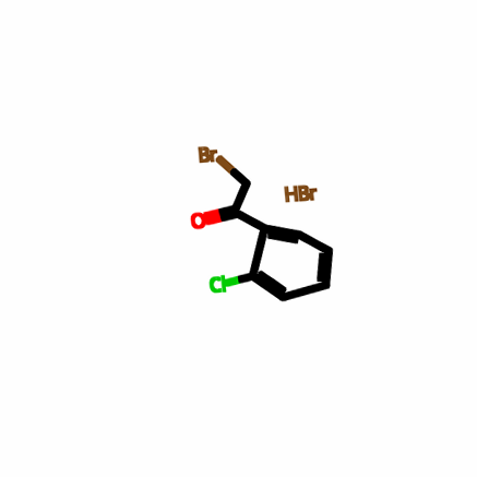 Br.O=C(CBr)c1ccccc1Cl